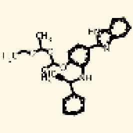 C#CC(Nc1cc(-c2nc3ccccc3[nH]2)ccc1OC(C)OC(C)OCC)c1ccccc1